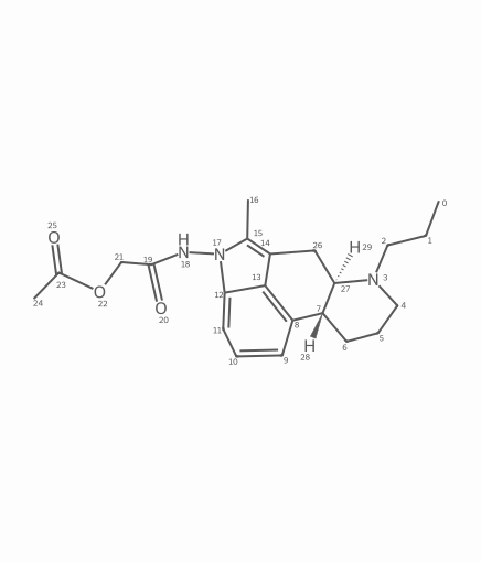 CCCN1CCC[C@@H]2c3cccc4c3c(c(C)n4NC(=O)COC(C)=O)C[C@H]21